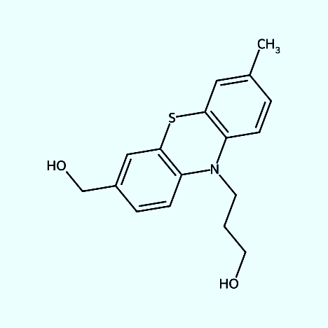 Cc1ccc2c(c1)Sc1cc(CO)ccc1N2CCCO